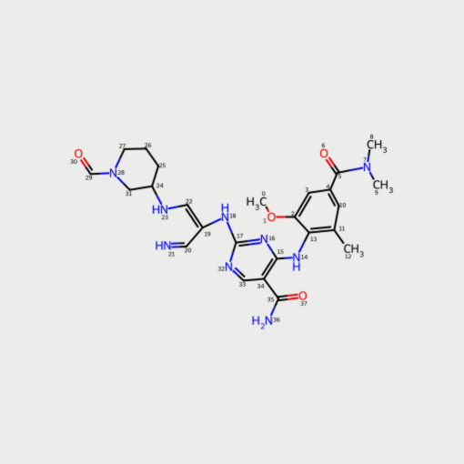 COc1cc(C(=O)N(C)C)cc(C)c1Nc1nc(N/C(C=N)=C/NC2CCCN(C=O)C2)ncc1C(N)=O